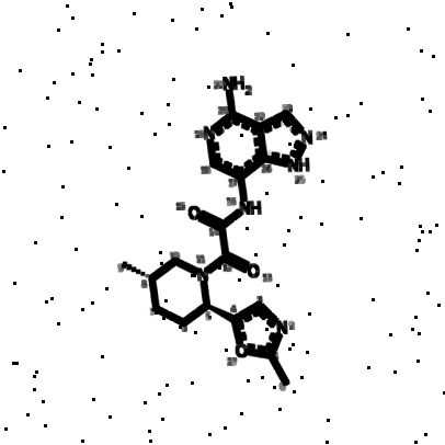 Cc1ncc([C@H]2CC[C@H](C)CN2C(=O)C(=O)Nc2cnc(N)c3cn[nH]c23)o1